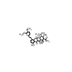 COc1ccc(/C=C/c2ccc(O)c3c2C[C@H]2C[C@H]4[C@H](N(C)C)C(O)=C(C(N)=O)C(=O)[C@@]4(O)C(O)=C2C3=O)cc1OC